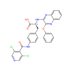 O=C(Nc1ccc(C[C@H](Nc2nc3ccccc3nc2Oc2ccccc2)C(=O)O)cc1)c1c(Cl)cncc1Cl